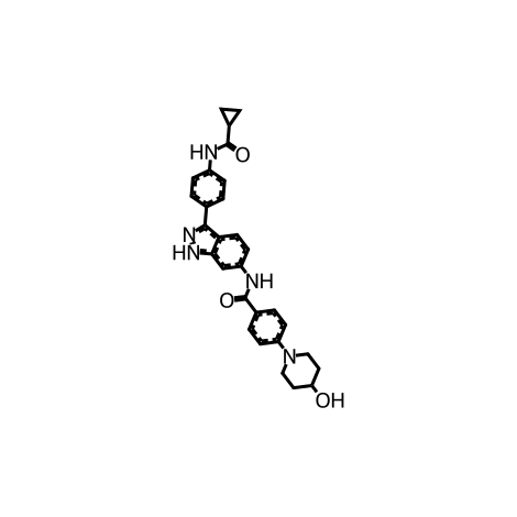 O=C(Nc1ccc2c(-c3ccc(NC(=O)C4CC4)cc3)n[nH]c2c1)c1ccc(N2CCC(O)CC2)cc1